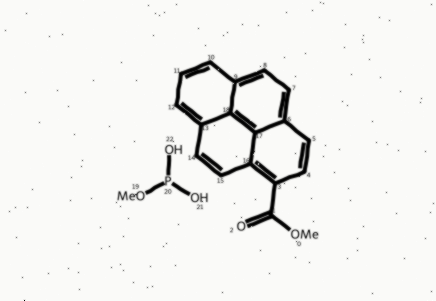 COC(=O)c1ccc2ccc3cccc4ccc1c2c34.COP(O)O